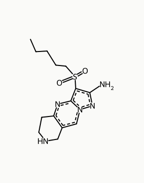 CCCCCS(=O)(=O)c1c(N)nn2cc3c(nc12)CCNC3